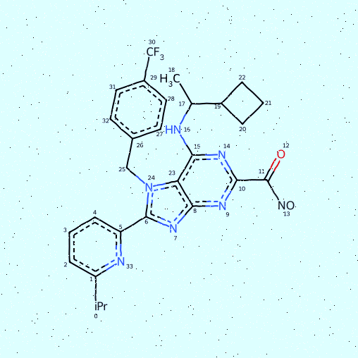 CC(C)c1cccc(-c2nc3nc(C(=O)N=O)nc(NC(C)C4CCC4)c3n2Cc2ccc(C(F)(F)F)cc2)n1